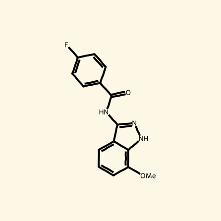 COc1cccc2c(NC(=O)c3ccc(F)cc3)n[nH]c12